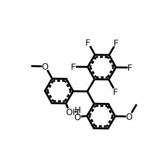 COc1ccc(O)c(C(c2cc(OC)ccc2O)c2c(F)c(F)c(F)c(F)c2F)c1